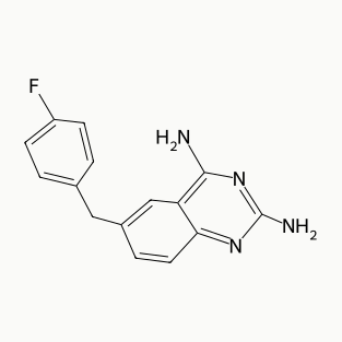 Nc1nc(N)c2cc(Cc3ccc(F)cc3)ccc2n1